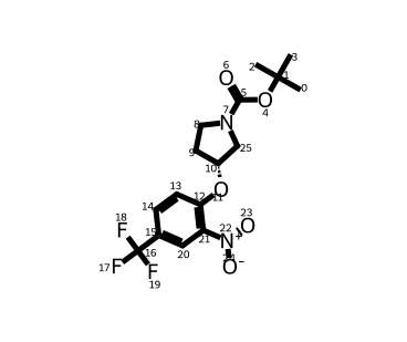 CC(C)(C)OC(=O)N1CC[C@@H](Oc2ccc(C(F)(F)F)cc2[N+](=O)[O-])C1